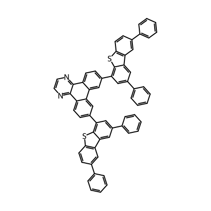 c1ccc(-c2ccc3sc4c(-c5ccc6c(c5)c5cc(-c7cc(-c8ccccc8)cc8c7sc7ccc(-c9ccccc9)cc78)ccc5c5nccnc65)cc(-c5ccccc5)cc4c3c2)cc1